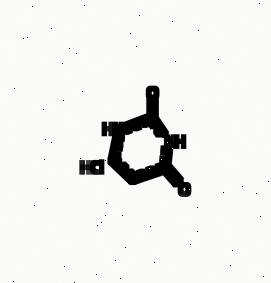 Cl.O=c1cc[nH]c(=O)[nH]1